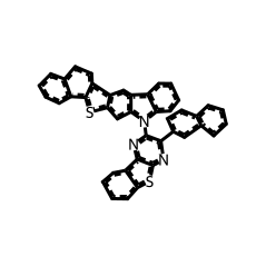 c1ccc2cc(-c3nc4sc5ccccc5c4nc3-n3c4ccccc4c4cc5c(cc43)sc3c4ccccc4ccc53)ccc2c1